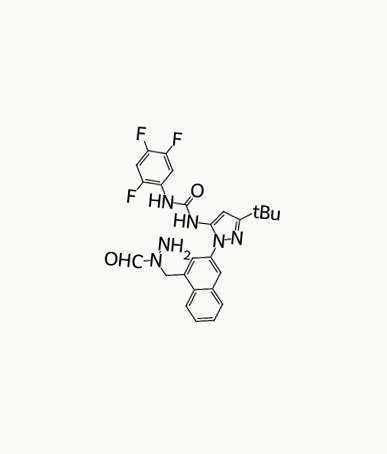 CC(C)(C)c1cc(NC(=O)Nc2cc(F)c(F)cc2F)n(-c2cc(CN(N)C=O)c3ccccc3c2)n1